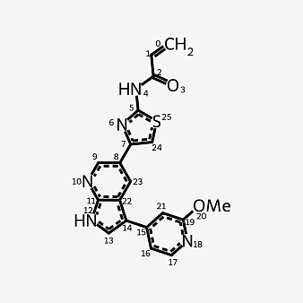 C=CC(=O)Nc1nc(-c2cnc3[nH]cc(-c4ccnc(OC)c4)c3c2)cs1